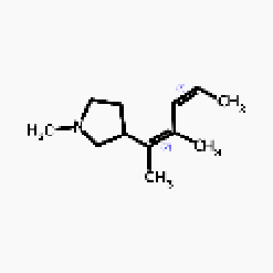 C/C=C\C(C)=C(\C)C1CCN(C)C1